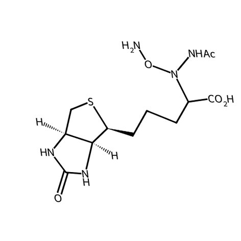 CC(=O)NN(ON)C(CCC[C@@H]1SC[C@@H]2NC(=O)N[C@@H]21)C(=O)O